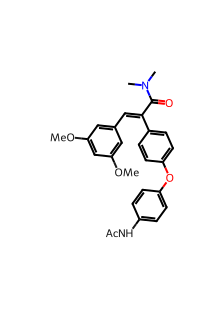 COc1cc(/C=C(/C(=O)N(C)C)c2ccc(Oc3ccc(NC(C)=O)cc3)cc2)cc(OC)c1